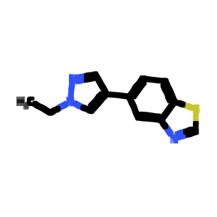 CCn1cc(-c2ccc3scnc3c2)cn1